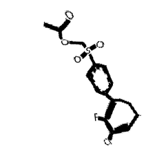 CC(=O)OCS(=O)(=O)c1ccc(C2=C(F)C(Cl)=C[CH]C2)cc1